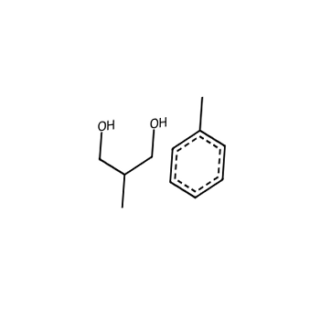 CC(CO)CO.Cc1ccccc1